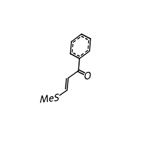 CS/C=C/C(=O)c1ccccc1